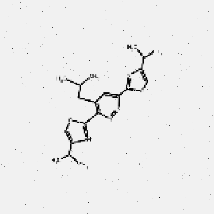 CC(C)Cc1cc(-c2nc(C(C)C)co2)nnc1-c1nc(C(C)C)co1